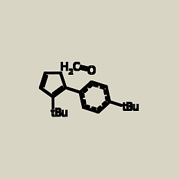 C=O.CC(C)(C)C1=C(c2ccc(C(C)(C)C)cc2)CC=C1